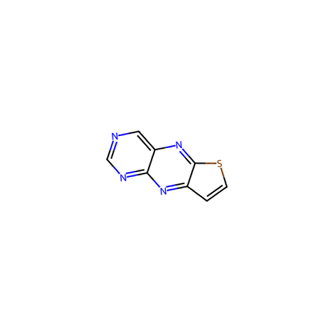 c1ncc2nc3sccc3nc2n1